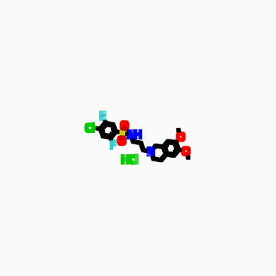 COc1cc2c(cc1OC)CN(CCCNS(=O)(=O)c1cc(F)c(Cl)cc1F)CC2.Cl